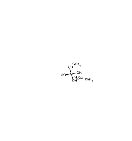 O[Si](O)(O)O.[BaH2].[GaH3].[GeH4]